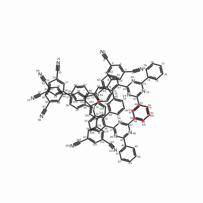 N#Cc1cc(C#N)cc(-c2ccc3c(c2)c2cc(-c4cc(C#N)cc(C#N)c4)ccc2n3-c2cccc(-c3nc(-c4ccccc4)nc(-c4ccccc4)n3)c2-c2cccc(-c3c(-c4nc(-c5ccccc5)nc(-c5ccccc5)n4)cccc3-n3c4ccc(-c5cc(C#N)cc(C#N)c5)cc4c4cc(-c5cc(C#N)cc(C#N)c5)ccc43)c2)c1